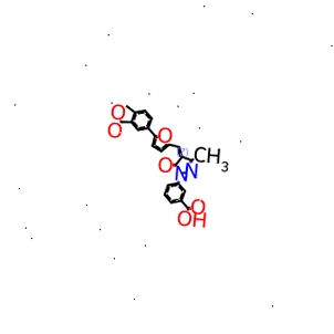 CC1=NN(c2cccc(C(=O)O)c2)C(=O)/C1=C\c1ccc(-c2ccc3c(c2)C(=O)OC3)o1